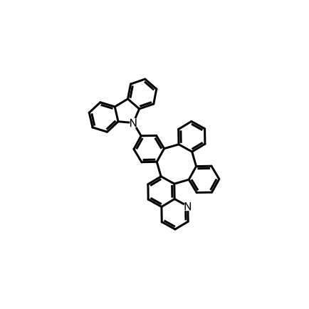 c1ccc2c(c1)-c1cc(-n3c4ccccc4c4ccccc43)ccc1-c1ccc3cccnc3c1-c1ccccc1-2